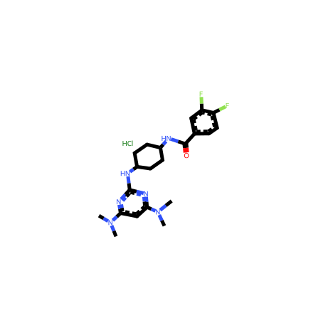 CN(C)c1cc(N(C)C)nc(NC2CCC(NC(=O)c3ccc(F)c(F)c3)CC2)n1.Cl